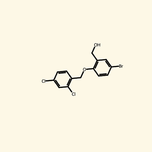 OCc1cc(Br)ccc1OCc1ccc(Cl)cc1Cl